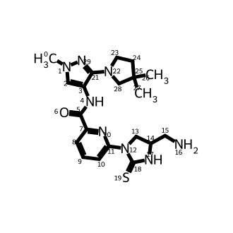 Cn1cc(NC(=O)c2cccc(N3CC(CN)NC3=S)n2)c(N2CCC(C)(C)C2)n1